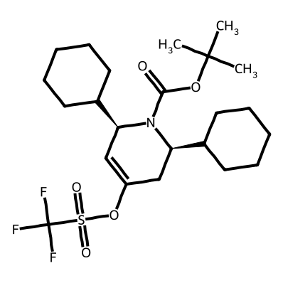 CC(C)(C)OC(=O)N1[C@@H](C2CCCCC2)CC(OS(=O)(=O)C(F)(F)F)=C[C@H]1C1CCCCC1